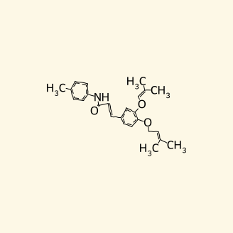 CC(C)=CCOc1ccc(/C=C/C(=O)Nc2ccc(C)cc2)cc1OC=C(C)C